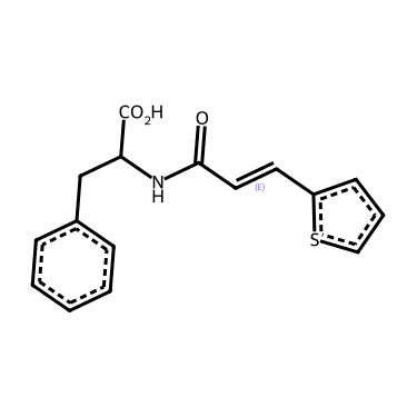 O=C(/C=C/c1cccs1)NC(Cc1ccccc1)C(=O)O